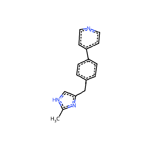 Cc1nc(Cc2ccc(-c3ccncc3)cc2)c[nH]1